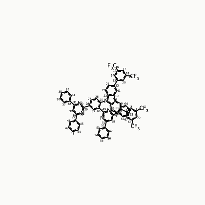 FC(F)(F)c1cc(-c2ccc3c(c2)c2cc(-c4cc(C(F)(F)F)cc(C(F)(F)F)c4)ccc2n3-c2ccc(-c3nc(-c4ccccc4)cc(-c4ccccc4)n3)cc2-c2nc(-c3ccccc3)cc(-c3ccccc3)n2)cc(C(F)(F)F)c1